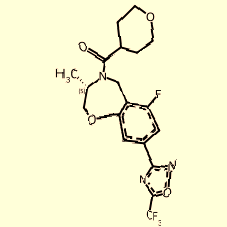 C[C@H]1COc2cc(-c3noc(C(F)(F)F)n3)cc(F)c2CN1C(=O)C1CCOCC1